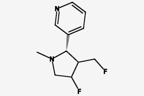 CN1CC(F)C(CF)[C@H]1c1cccnc1